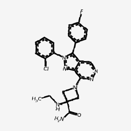 CCNC1(C(N)=O)CN(c2nncc3c(-c4ccc(F)cc4)n(-c4ccccc4Cl)nc23)C1